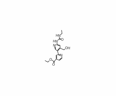 CCNC(=O)Nc1cc(CO)c(-c2cc(C(=O)OCC)ccn2)cn1